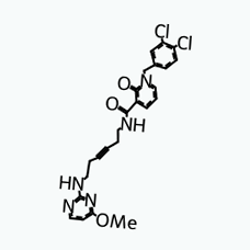 COc1ccnc(NCCC#CCCNC(=O)c2cccn(Cc3ccc(Cl)c(Cl)c3)c2=O)n1